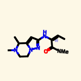 C/C=C(/Nc1cc2n(n1)CCN(C)C2C)C(=O)NC